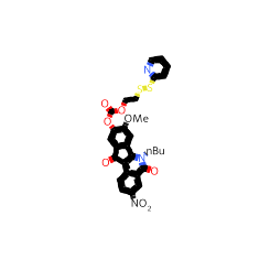 CCCCn1c2c(c3ccc([N+](=O)[O-])cc3c1=O)C(=O)c1cc(OC(=O)OCCSSc3ccccn3)c(OC)cc1-2